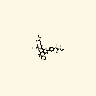 CCNC(=O)Nc1ccc(-c2nc3c(c(N4CCOCC4)n2)[C@@H](C(C)(C)C)CN(C(=O)O)C3CCCC(=O)OCC)cc1